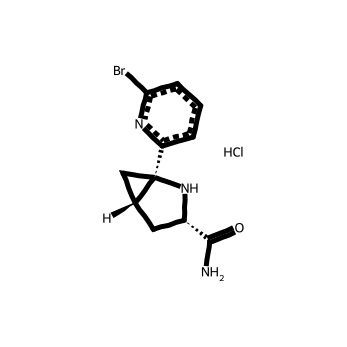 Cl.NC(=O)[C@@H]1C[C@@H]2C[C@@]2(c2cccc(Br)n2)N1